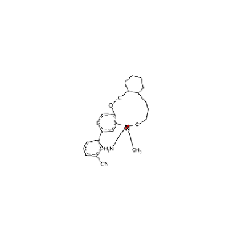 CN1OC2(CCCCC3CCCCC3COc3ccc(-c4cccc(C#N)c4)cc32)N=C1N